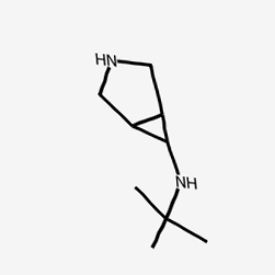 CC(C)(C)NC1C2CNCC21